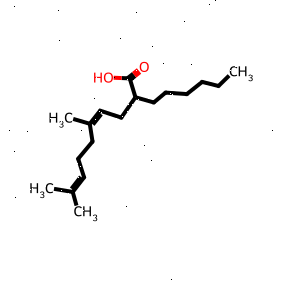 CCCCCCC(CC=C(C)CCC=C(C)C)C(=O)O